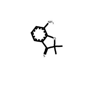 CC1(C)Oc2c(N)cccc2C1=S